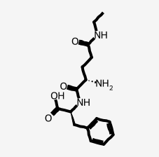 CCNC(=O)CC[C@H](N)C(=O)N[C@@H](Cc1ccccc1)C(=O)O